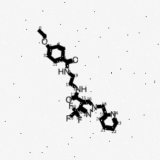 CCOc1ccc(C(=O)NCCNC(=O)c2cn(Cc3ccccn3)nc2C(F)(F)F)cc1